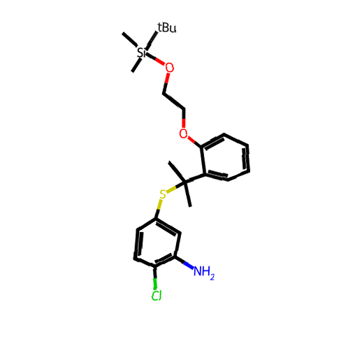 CC(C)(Sc1ccc(Cl)c(N)c1)c1ccccc1OCCO[Si](C)(C)C(C)(C)C